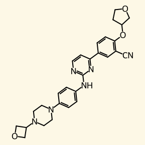 N#Cc1cc(-c2ccnc(Nc3ccc(N4CCN(C5COC5)CC4)cc3)n2)ccc1OC1CCOC1